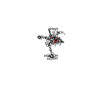 CCCCCCCSSCCOC(=O)C(C)(CCC(C)(CC(C)(CC(C)(CCC)C(=O)O)C(=O)OCCCC)C(=O)OCCN(C)C)CC(C)(CC(C)(CCC(C)(CC)C(=O)OCCOCCO[C@@H]1O[C@H](CO)[C@H](O)[C@H](O)[C@H]1O)C(=O)NCC(C)O)C(=O)OCCSSc1ccccn1